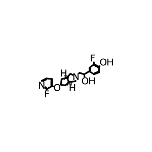 Oc1ccc(C(O)CN2C[C@H]3CC(Oc4cccnc4F)C[C@H]3C2)cc1F